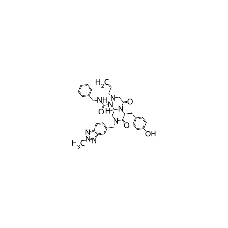 C=CCN1CC(=O)N2[C@@H](Cc3ccc(O)cc3)C(=O)N(Cc3ccc4nn(C)nc4c3)C[C@@H]2N1C(=O)NCc1ccccc1